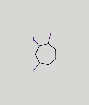 IC1CCCC(I)C(I)C1